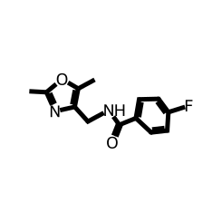 Cc1nc(CNC(=O)c2ccc(F)cc2)c(C)o1